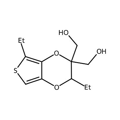 CCc1scc2c1OC(CO)(CO)C(CC)O2